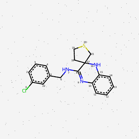 Clc1cccc(CNC2=Nc3ccccc3NC23CCSC3)c1